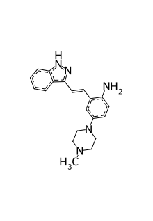 CN1CCN(c2ccc(N)c(/C=C/c3n[nH]c4ccccc34)c2)CC1